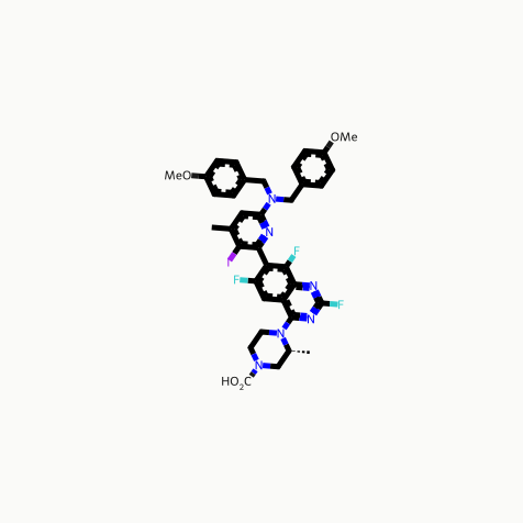 COc1ccc(CN(Cc2ccc(OC)cc2)c2cc(C)c(I)c(-c3c(F)cc4c(N5CCN(C(=O)O)C[C@H]5C)nc(F)nc4c3F)n2)cc1